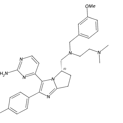 COc1cccc(CN(CCN(C)C)C[C@@H]2CCc3nc(-c4ccc(F)cc4)c(-c4ccnc(N)n4)n32)c1